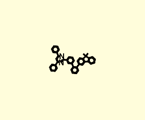 CC1(C)c2ccccc2-c2cc(-c3ccccc3-c3cccc(-c4nc(-c5ccccc5)cc(-c5ccccc5)n4)c3)ccc21